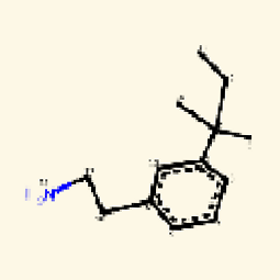 CCC(C)(C)c1cccc(CCN)c1